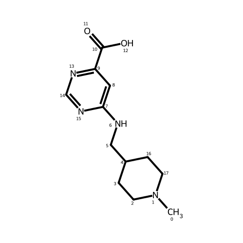 CN1CCC(CNc2cc(C(=O)O)ncn2)CC1